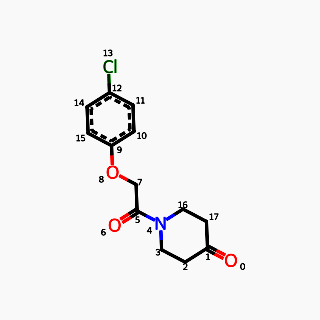 O=C1CCN(C(=O)COc2ccc(Cl)cc2)CC1